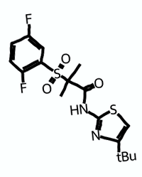 CC(C)(C)c1csc(NC(=O)C(C)(C)S(=O)(=O)c2cc(F)ccc2F)n1